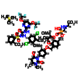 CCc1ccc(COc2ccc(-n3c(=O)cc(C(F)(F)F)n(C)c3=O)cc2)c(OC(C)C(=O)OC)c1.COc1c(Cl)ccc(Cl)c1C(=O)O.C[S+](C)C.O=C(Nc1nc(OC(F)F)cc(OC(F)F)n1)NS(=O)(=O)c1ccccc1C(=O)O.O=C(O)CNCP(=O)([O-])O